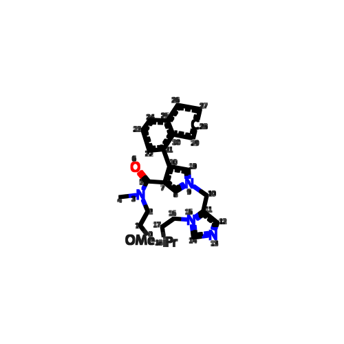 COCCN(C)C(=O)c1cn(Cc2cncn2CCC(C)C)cc1-c1cccc2ccccc12